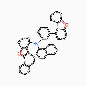 c1cc(-c2cccc3oc4ccccc4c23)cc(N(c2cccc3ccccc23)c2cccc3oc4c5ccccc5ccc4c23)c1